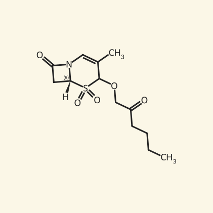 CCCCC(=O)COC1C(C)=CN2C(=O)C[C@H]2S1(=O)=O